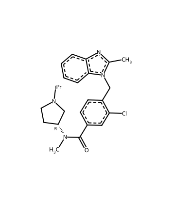 Cc1nc2ccccc2n1Cc1ccc(C(=O)N(C)[C@@H]2CCN(C(C)C)C2)cc1Cl